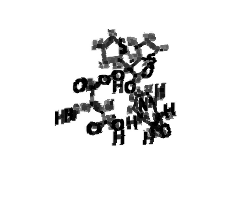 Br.C[N+]1(C)[C@@H]2CC(OC(=O)C(O)(c3cccs3)c3cccs3)C[C@H]1[C@@H]1O[C@@H]12.O=C([O-])C=CC(=O)O